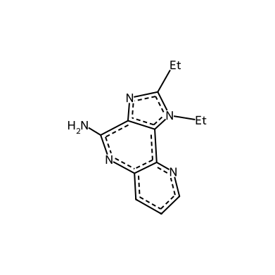 CCc1nc2c(N)nc3cccnc3c2n1CC